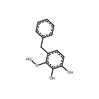 OOc1c(Cc2ccccc2)ccc(O)c1O